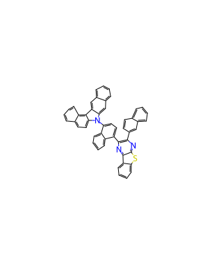 c1ccc2cc(-c3nc4sc5ccccc5c4nc3-c3ccc(-n4c5cc6ccccc6cc5c5c6ccccc6ccc54)c4ccccc34)ccc2c1